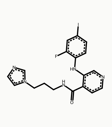 O=C(NCCCn1ccnc1)c1ccncc1Nc1ccc(I)cc1F